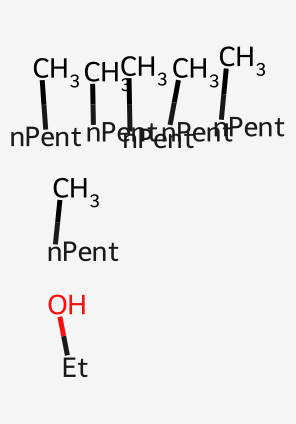 CCCCCC.CCCCCC.CCCCCC.CCCCCC.CCCCCC.CCCCCC.CCO